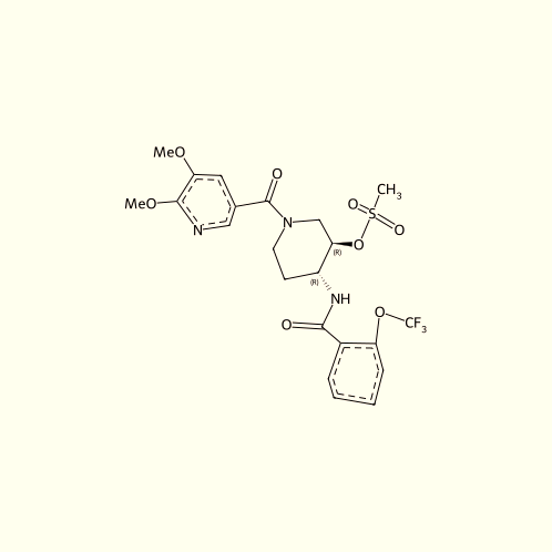 COc1cc(C(=O)N2CC[C@@H](NC(=O)c3ccccc3OC(F)(F)F)[C@H](OS(C)(=O)=O)C2)cnc1OC